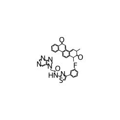 CC1C=c2c(ccc3c2=CC(=O)c2ccccc2-3)C(C)C1=O.O=C(Cn1cnc2ncncc21)Nc1nc(-c2cccc(F)c2)cs1